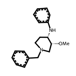 CO[C@@H]1CN(Cc2ccccc2)CC[C@@H]1Nc1ccccc1